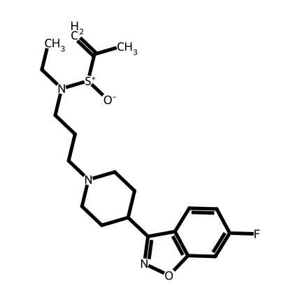 C=C(C)[S+]([O-])N(CC)CCCN1CCC(c2noc3cc(F)ccc23)CC1